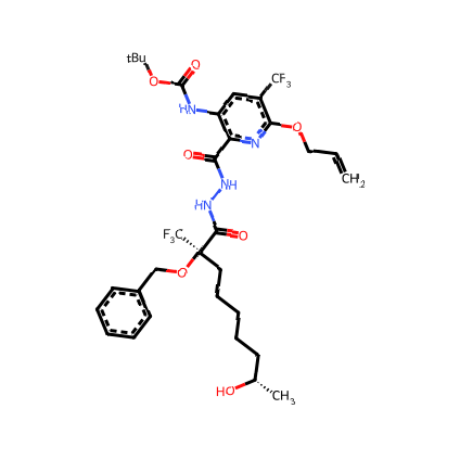 C=CCOc1nc(C(=O)NNC(=O)[C@@](CCCCC[C@H](C)O)(OCc2ccccc2)C(F)(F)F)c(NC(=O)OC(C)(C)C)cc1C(F)(F)F